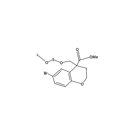 COC(=O)C1(COSOI)CCOc2ccc(Br)cc21